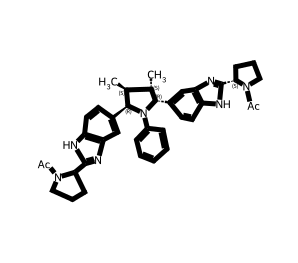 CC(=O)N1CCCC1c1nc2cc([C@H]3[C@@H](C)[C@H](C)[C@H](c4ccc5[nH]c([C@@H]6CCCN6C(C)=O)nc5c4)N3c3ccccc3)ccc2[nH]1